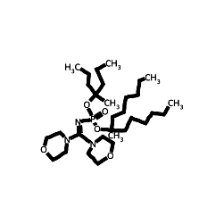 CCCCCCC(C)(CCCCCC)OP(=O)(N=C(N1CCOCC1)N1CCOCC1)OC(C)(CCC)CCC